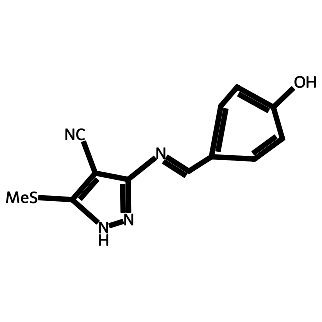 CSc1[nH]nc(N=Cc2ccc(O)cc2)c1C#N